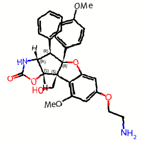 COc1ccc([C@@]23Oc4cc(OCCN)cc(OC)c4[C@]2(CO)[C@@H]2OC(=O)N[C@@H]2[C@H]3c2ccccc2)cc1